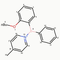 CCCCOc1ccccc1B(c1ccccc1)[n+]1ccc(C)cc1